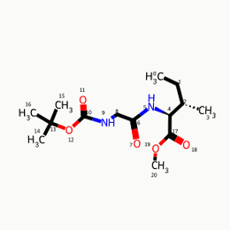 CC[C@H](C)[C@H](NC(=O)CNC(=O)OC(C)(C)C)C(=O)OC